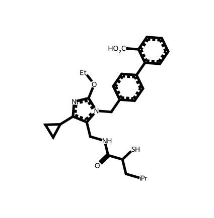 CCOc1nc(C2CC2)c(CNC(=O)C(S)CC(C)C)n1Cc1ccc(-c2ccccc2C(=O)O)cc1